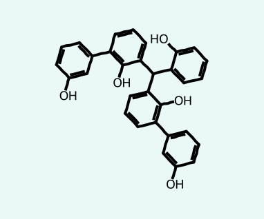 Oc1cccc(-c2cccc(C(c3ccccc3O)c3cccc(-c4cccc(O)c4)c3O)c2O)c1